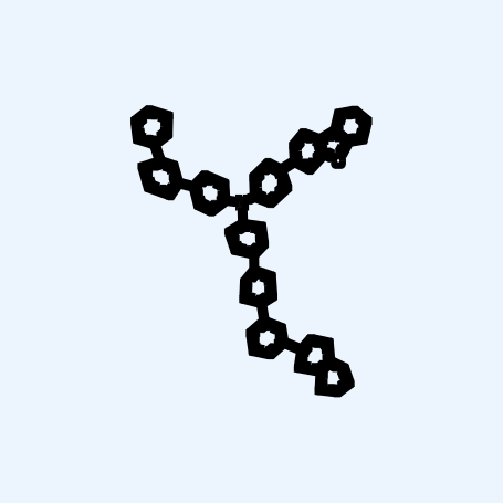 c1ccc(-c2cccc(-c3ccc(N(c4ccc(-c5ccc(-c6cccc(-c7ccc8ccccc8c7)c6)cc5)cc4)c4ccc(-c5ccc6c(c5)oc5ccccc56)cc4)cc3)c2)cc1